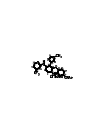 CNS(=O)(=O)c1ccc(Nc2cc(C(F)(F)F)ccn2)c(-c2cn(C)cn2)c1Cc1ccc(OC)cc1